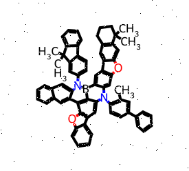 Cc1cc(-c2ccccc2)ccc1N1c2cc3oc4cc5c(cc4c3cc2B2c3c1cc1c(oc4ccccc41)c3-c1cc3ccccc3cc1N2c1ccc2c(c1)C(C)(C)c1ccccc1-2)CCCC5(C)C